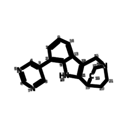 c1cc(-c2cncnc2)c2[nH]c3c(c2c1)CN1CCC3CC1